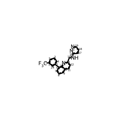 FC(F)(F)c1cccc(-c2cccc3ccc(CNc4cccnn4)nc23)c1